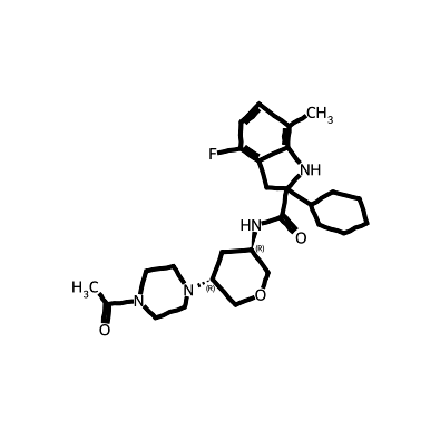 CC(=O)N1CCN([C@H]2COC[C@H](NC(=O)C3(C4CCCCC4)Cc4c(F)ccc(C)c4N3)C2)CC1